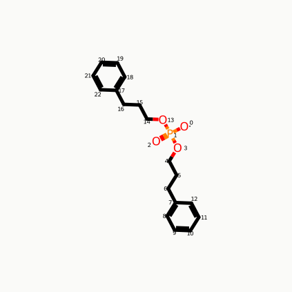 [O]P(=O)(OCCCc1ccccc1)OCCCc1ccccc1